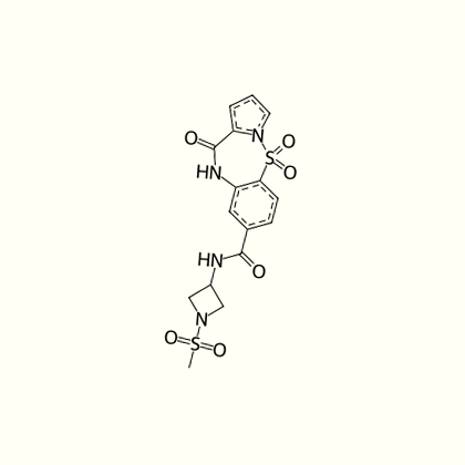 CS(=O)(=O)N1CC(NC(=O)c2ccc3c(c2)NC(=O)c2cccn2S3(=O)=O)C1